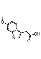 COc1ccn2c(CC(=O)O)cnc2c1